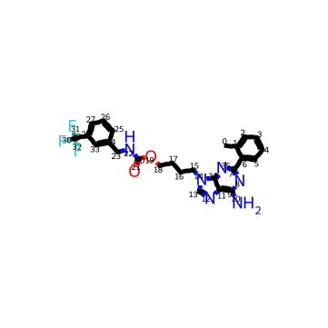 Cc1ccccc1-c1nc(N)c2ncn(CCCCOC(=O)NCc3cccc(C(F)(F)F)c3)c2n1